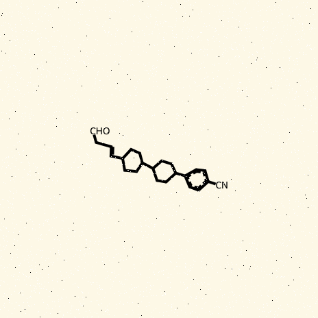 N#Cc1ccc(C2CCC(C3CCC(/C=C/CC=O)CC3)CC2)cc1